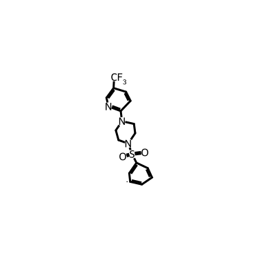 O=S(=O)(c1c[c]ccc1)N1CCN(c2ccc(C(F)(F)F)cn2)CC1